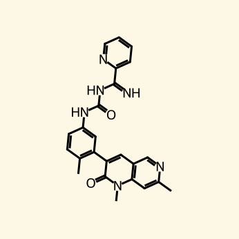 Cc1cc2c(cn1)cc(-c1cc(NC(=O)NC(=N)c3ccccn3)ccc1C)c(=O)n2C